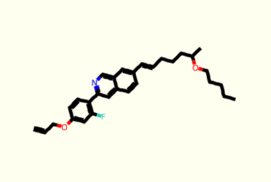 C=CCOc1ccc(-c2cc3ccc(C=CCCCC(C)OCCCCC)cc3cn2)c(F)c1